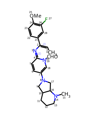 C/C=C(\N=c1\ccc(N2CC3CCCN(C)C3C2)cn1C=O)c1ccc(OC)c(F)c1